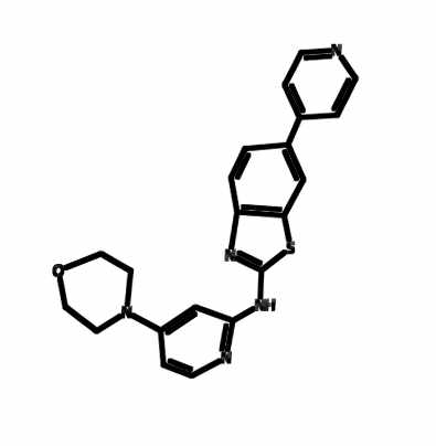 c1cc(-c2ccc3nc(Nc4cc(N5CCOCC5)ccn4)sc3c2)ccn1